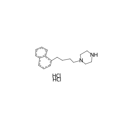 Cl.Cl.c1ccc2c(CCCCN3CCNCC3)cccc2c1